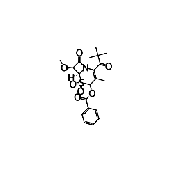 CO[C@H]1C(=O)N2C(C(=O)C(C)(C)C)=C(C)C(OC(=O)c3ccccc3)S(=O)(=O)[C@@H]12